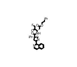 CC(C)CCOC(=O)C[C@H](NC(=O)[C@]1(C(C)C)CC(c2nccc3ccccc23)=NO1)C(=O)CF